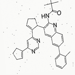 Cc1ccccc1-c1ccc2nc(NC(=O)C(C)(C)C)c(C3CCC=C3c3cc(C4=CCCC4)ncn3)cc2c1